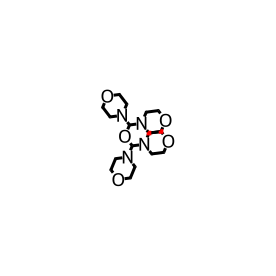 C1CN(C(OC(N2CCOCC2)N2CCOCC2)N2CCOCC2)CCO1